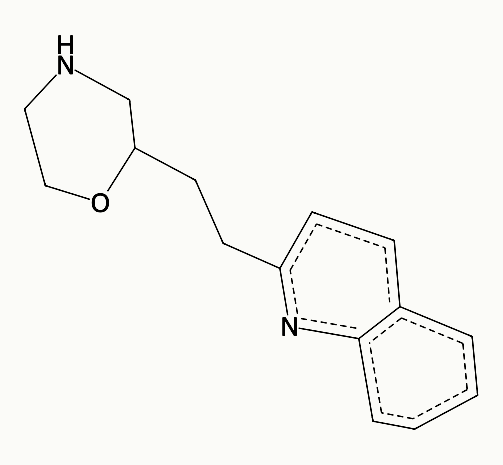 c1ccc2nc(CCC3CNCCO3)ccc2c1